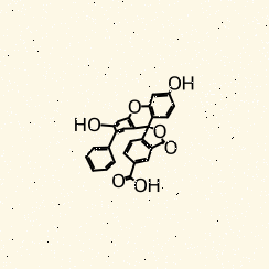 O=C(O)c1ccc2c(c1)C(=O)OC21c2ccc(O)cc2Oc2cc(O)c(-c3ccccc3)cc21